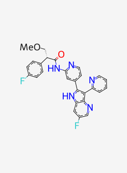 COC[C@H](C(=O)Nc1cc(-c2[nH]c3cc(F)cnc3c2-c2ccccn2)ccn1)c1ccc(F)cc1